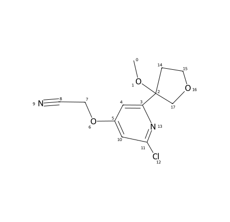 COC1(c2cc(OCC#N)cc(Cl)n2)CCOC1